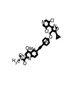 COc1cc(C(=O)N(C)C)nc2ccc(C#CC34CCC(OCc5c(-c6c(Cl)cncc6Cl)noc5C5CC5)(CC3)CC4)cc12